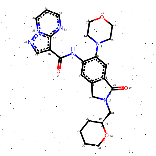 O=C(Nc1cc2c(cc1N1CCOCC1)C(=O)N(C[C@@H]1CCCCO1)C2)c1cnn2cccnc12